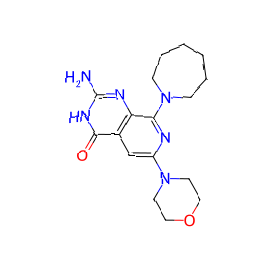 Nc1nc2c(N3CCCCCC3)nc(N3CCOCC3)cc2c(=O)[nH]1